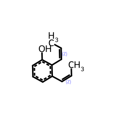 C/C=C\c1cccc(O)c1/C=C\C